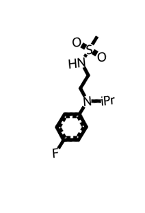 CC(C)N(CCNS(C)(=O)=O)c1ccc(F)cc1